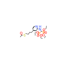 CCOP(=O)(OCC)C(Nc1cc(CCCCSC(C)=O)ccn1)P(=O)(OCC)OCC